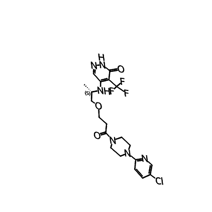 C[C@@H](COCCC(=O)N1CCN(c2ccc(Cl)cn2)CC1)Nc1cn[nH]c(=O)c1C(F)(F)F